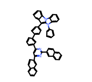 c1ccc(-n2c3ccccc3n3c4ccccc4c(-c4ccc(-c5cccc(-c6cc(-c7ccc8ccccc8c7)nc(-c7ccc8ccccc8c7)n6)c5)cc4)c23)cc1